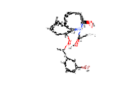 CC(=O)n1c(=O)ccc2cccc(OCc3cccc(Br)c3)c21